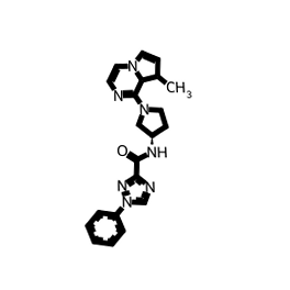 CC1C=CN2C=CN=C(N3CC[C@H](NC(=O)c4ncn(-c5ccccc5)n4)C3)C12